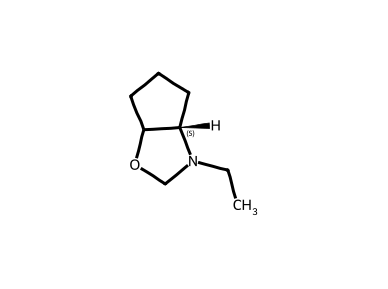 CCN1COC2CCC[C@@H]21